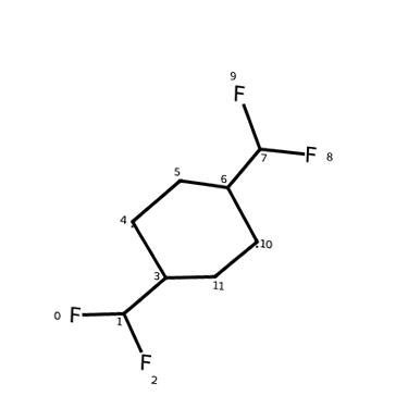 FC(F)C1[CH]CC(C(F)F)[CH]C1